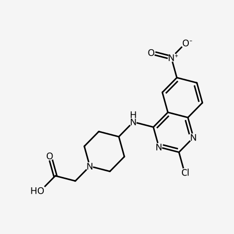 O=C(O)CN1CCC(Nc2nc(Cl)nc3ccc([N+](=O)[O-])cc23)CC1